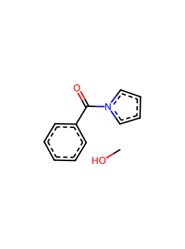 CO.O=C(c1ccccc1)n1cccc1